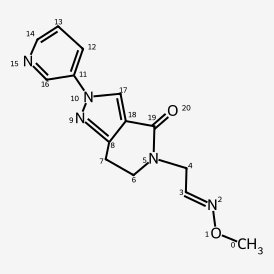 CON=CCN1CCc2nn(-c3cccnc3)cc2C1=O